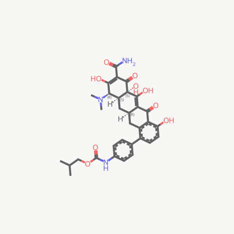 CC(C)COC(=O)Nc1ccc(-c2ccc(O)c3c2C[C@H]2C[C@H]4[C@@H](N(C)C)C(O)=C(C(N)=O)C(=O)[C@@]4(O)C(O)=C2C3=O)cc1